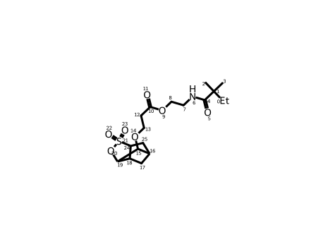 CCC(C)(C)C(=O)NCCOC(=O)CCOC1C2CC3C1OS(=O)(=O)C3C2